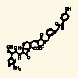 Nc1nc(/C(=N/O)C(=O)N[C@@H]2C(=O)N3C(C(=O)[O-])=C(C=C4CCN(Cc5ccc[n+](CC(=O)Nc6ccc(O)cc6)c5)C4=O)CS[C@H]23)cs1